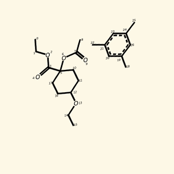 CCOC(=O)C1(OC(C)=O)CCC(OCC)CC1.Cc1cc(C)cc(C)c1